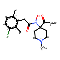 COC(=O)C1(N(O)C(=O)Cc2c(C)ccc(Cl)c2C)CCN(OC)CC1